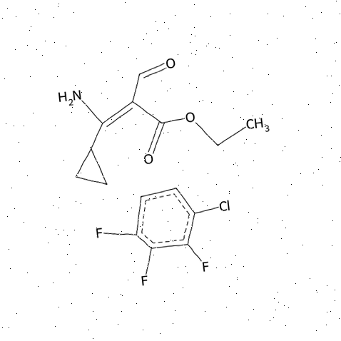 CCOC(=O)C(C=O)=C(N)C1CC1.Fc1ccc(Cl)c(F)c1F